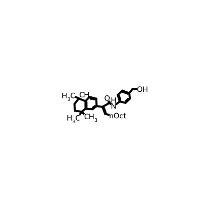 CCCCCCCCC=C(C(=O)Nc1ccc(CO)cc1)c1ccc2c(c1)C(C)(C)CCC2(C)C